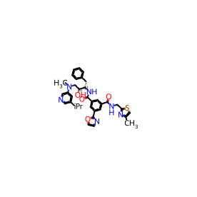 Cc1csc(CNC(=O)c2cc(C(=O)N[C@@H](Cc3ccccc3)[C@H](O)CN(C)c3cncc(C(C)C)c3)cc(-c3ncco3)c2)n1